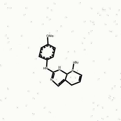 CCCCN1C=CCC2=CN=C(Nc3ccc(OC)cc3)NC21